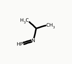 CC(C)N=P